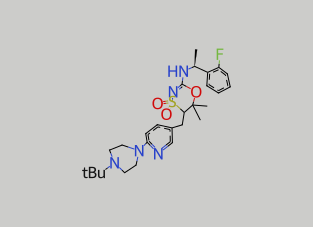 C[C@H](NC1=NS(=O)(=O)C(Cc2ccc(N3CCN(C(C)(C)C)CC3)nc2)C(C)(C)O1)c1ccccc1F